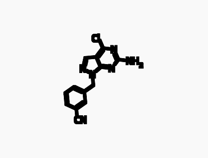 N#Cc1cccc(Cn2ncc3c(Cl)nc(N)nc32)c1